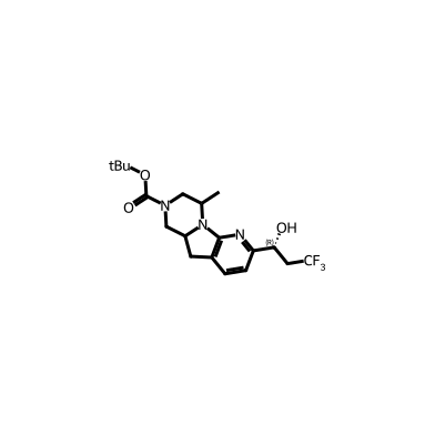 CC1CN(C(=O)OC(C)(C)C)CC2Cc3ccc([C@H](O)CC(F)(F)F)nc3N12